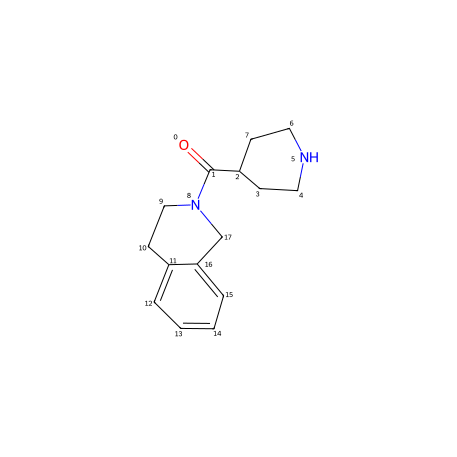 O=C(C1CCNCC1)N1CCc2ccccc2C1